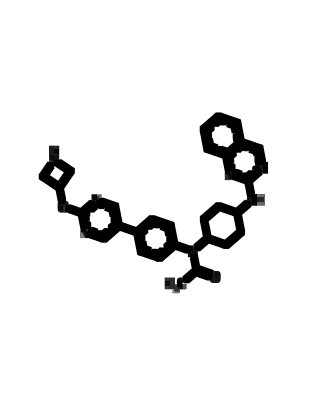 CC(=O)N(c1ccc(-c2cnc(OC3CNC3)nc2)cc1)C1CCC(Nc2ncc3ccccc3n2)CC1